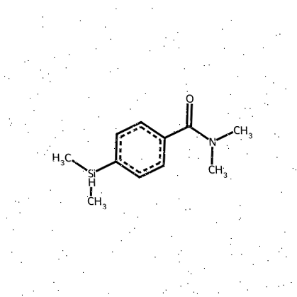 CN(C)C(=O)c1ccc([SiH](C)C)cc1